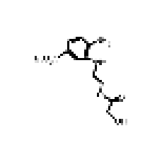 CCOC(=O)c1ccc(N)c(NCCOC(=O)CO)c1